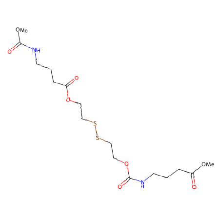 COC(=O)CCCNC(=O)OCCSSCCOC(=O)CCCNC(=O)OC